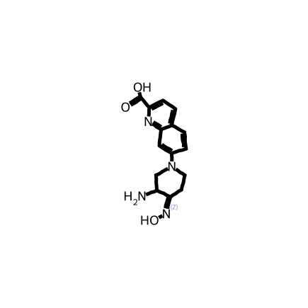 NC1CN(c2ccc3ccc(C(=O)O)nc3c2)CC/C1=N/O